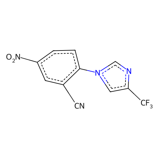 N#Cc1cc([N+](=O)[O-])ccc1-n1cnc(C(F)(F)F)c1